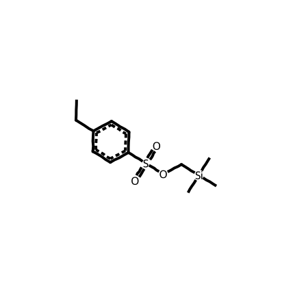 CCc1ccc(S(=O)(=O)OC[Si](C)(C)C)cc1